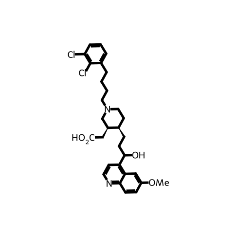 COc1ccc2nccc(C(O)CC[C@@H]3CCN(CCCCc4cccc(Cl)c4Cl)C[C@@H]3CC(=O)O)c2c1